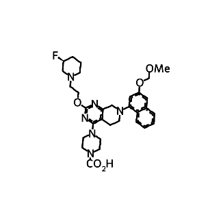 COCOc1cc(N2CCc3c(nc(OCCN4CCC[C@H](F)C4)nc3N3CCN(C(=O)O)CC3)C2)c2ccccc2c1